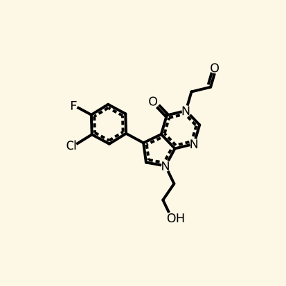 O=CCn1cnc2c(c(-c3ccc(F)c(Cl)c3)cn2CCO)c1=O